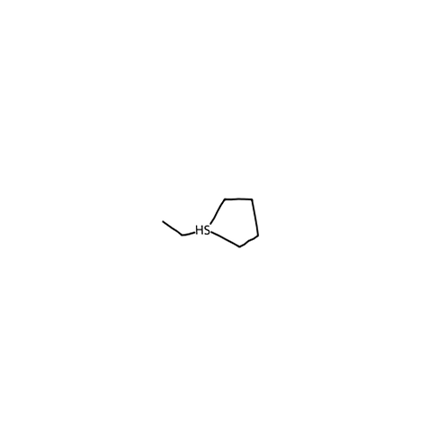 CC[SH]1CCCC1